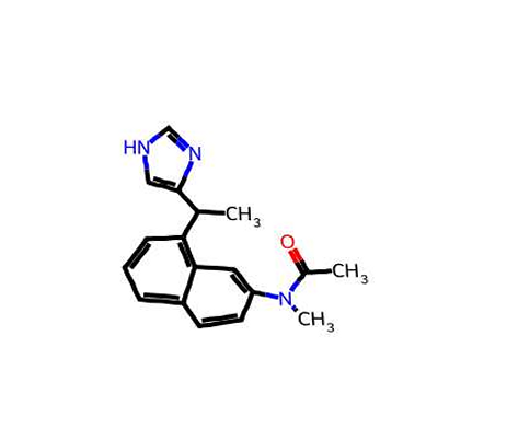 CC(=O)N(C)c1ccc2cccc(C(C)c3c[nH]cn3)c2c1